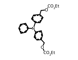 CCOC(=O)OCc1ccc(N(c2ccccc2)c2ccc(COC(=O)OCC)cc2)cc1